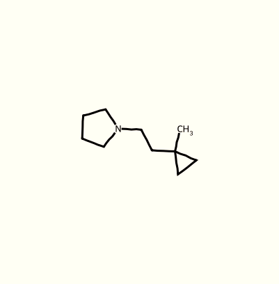 CC1(CCN2CCCC2)CC1